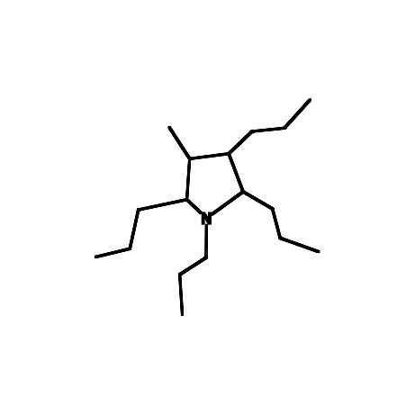 CCCC1C(C)C(CCC)N(CCC)C1CCC